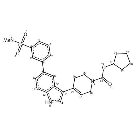 CNS(=O)(=O)c1cccc(-c2cnc3[nH]cc(C4=CCN(C(=O)OC5CCCC5)CC4)c3c2)c1